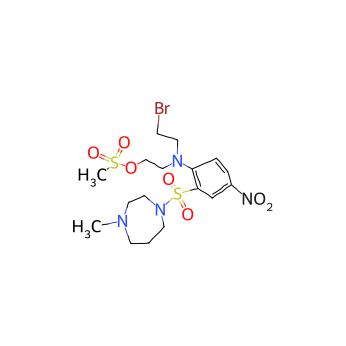 CN1CCCN(S(=O)(=O)c2cc([N+](=O)[O-])ccc2N(CCBr)CCOS(C)(=O)=O)CC1